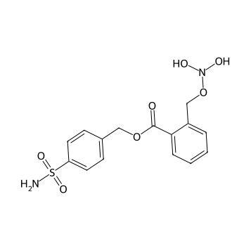 NS(=O)(=O)c1ccc(COC(=O)c2ccccc2CON(O)O)cc1